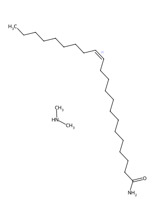 CCCCCCCC/C=C\CCCCCCCCCCCC(N)=O.CNC